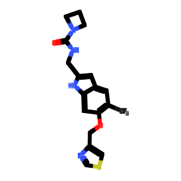 O=C(NCc1cc2cc(C(F)(F)F)c(OCc3cscn3)cc2[nH]1)N1CCC1